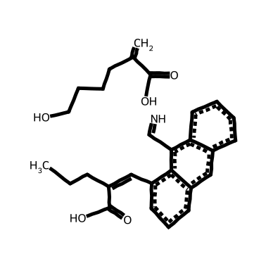 C=C(CCCCO)C(=O)O.CCCC(=Cc1cccc2cc3ccccc3c(C=N)c12)C(=O)O